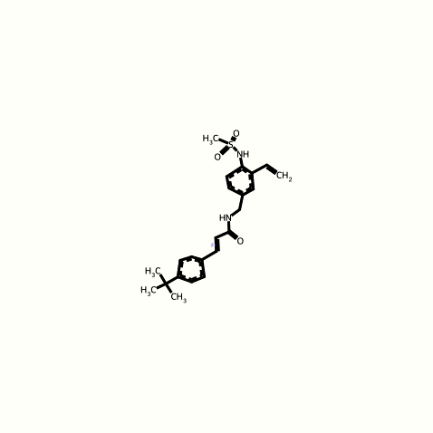 C=Cc1cc(CNC(=O)/C=C/c2ccc(C(C)(C)C)cc2)ccc1NS(C)(=O)=O